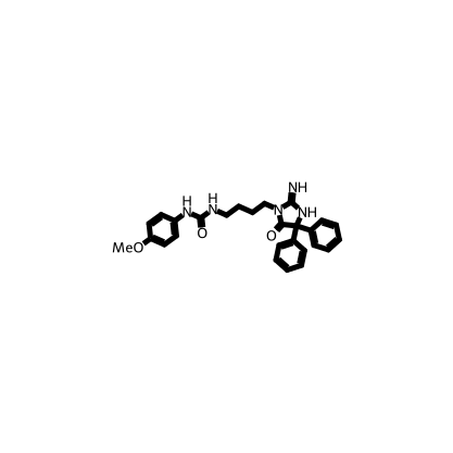 COc1ccc(NC(=O)NCCCCN2C(=N)NC(c3ccccc3)(c3ccccc3)C2=O)cc1